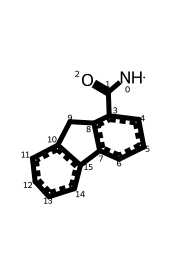 [NH]C(=O)c1cccc2c1Cc1ccccc1-2